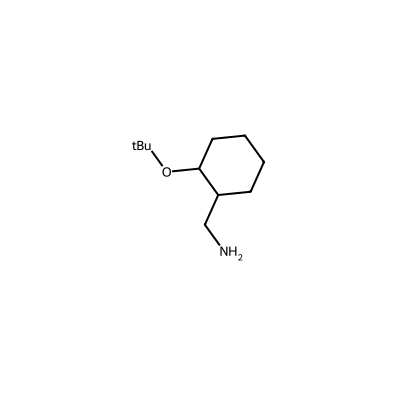 CC(C)(C)OC1CCCCC1CN